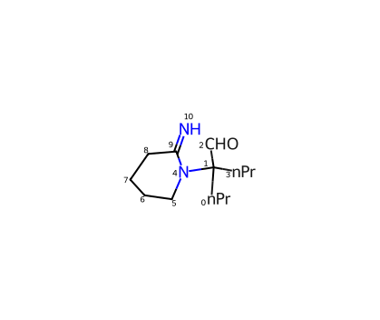 CCCC(C=O)(CCC)N1CCCCC1=N